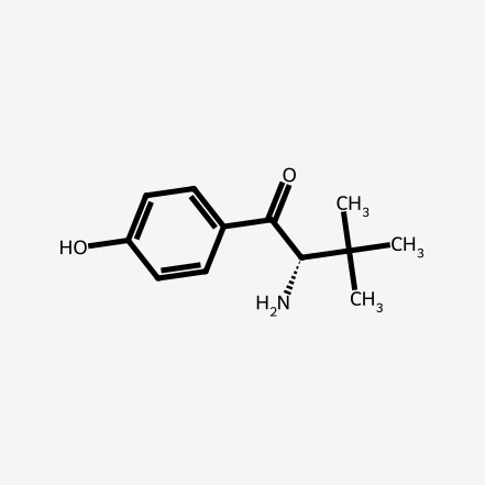 CC(C)(C)[C@H](N)C(=O)c1ccc(O)cc1